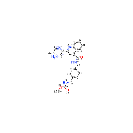 C=C/C=N\C(=C/N)c1cc(C(=O)NC[C@H]2CC[C@H](CNC(=O)OC(C)(C)C)CC2)c2ccccc2n1